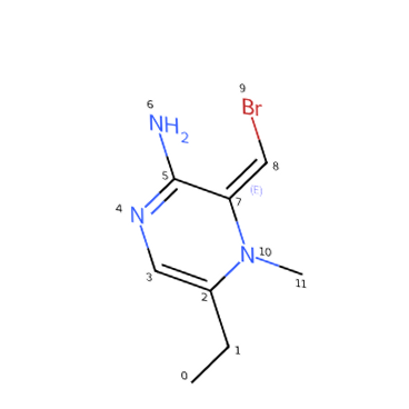 CCC1=CN=C(N)/C(=C\Br)N1C